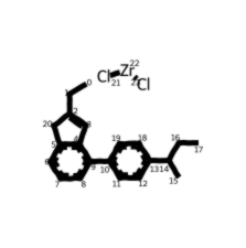 CCC1=Cc2c(cccc2-c2ccc(C(C)CC)cc2)[CH]1.[Cl][Zr][Cl]